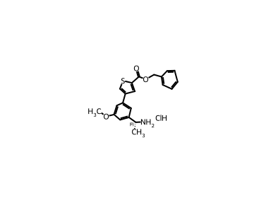 COc1cc(-c2csc(C(=O)OCc3ccccc3)c2)cc([C@@H](C)N)c1.Cl